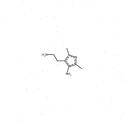 Cc1nn(C)c(CCN)c1N